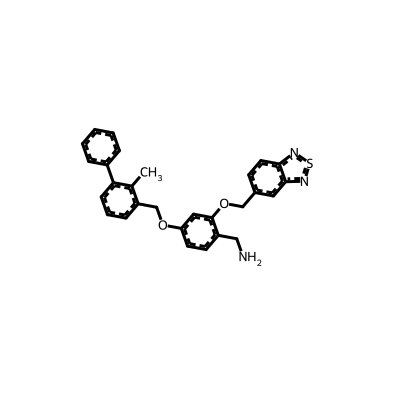 Cc1c(COc2ccc(CN)c(OCc3ccc4nsnc4c3)c2)cccc1-c1ccccc1